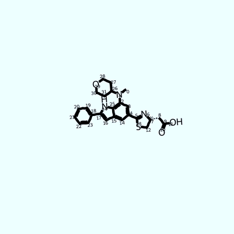 CN(c1cc(C2=N[C@H](CC(=O)O)CS2)cc2cc(-c3ccccc3)[nH]c12)C1CCOCC1